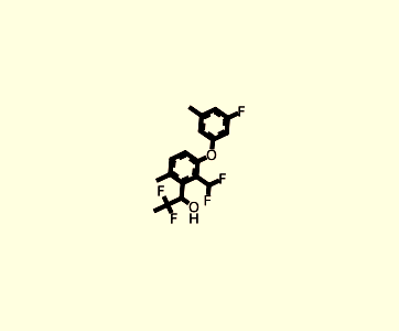 Cc1cc(F)cc(Oc2ccc(C)c(C(O)C(C)(F)F)c2C(F)F)c1